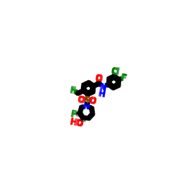 O=C(Nc1ccc(F)c(Cl)c1)c1ccc(CF)c(S(=O)(=O)N2CCC[C@H](O)[C@@H](F)C2)c1